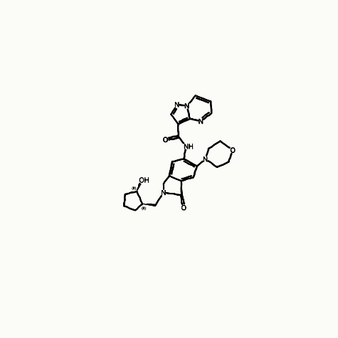 O=C(Nc1cc2c(cc1N1CCOCC1)C(=O)N(C[C@H]1CCC[C@H]1O)C2)c1cnn2cccnc12